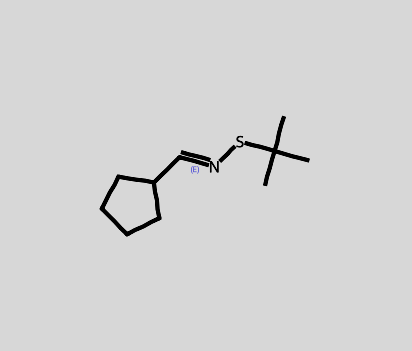 CC(C)(C)S/N=C/C1CCCC1